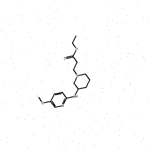 CCOC(=O)CCN1CCCC(Nc2ccc(OC)cn2)C1